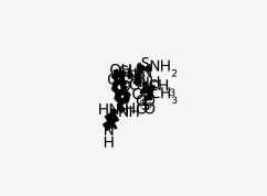 CC(ON=C(C(=O)NC1C(=O)N(OS(=O)(=O)O)C1(C)C)c1csc(N)n1)(C(=O)O)C1CCc2cc(C(=N)NC3CC4(CNC4)C3)ccc2O1